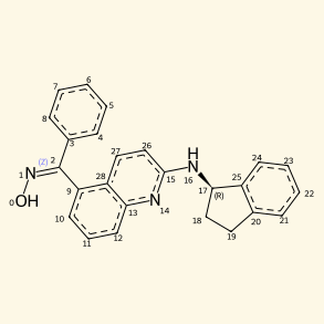 O/N=C(/c1ccccc1)c1cccc2nc(N[C@@H]3CCc4ccccc43)ccc12